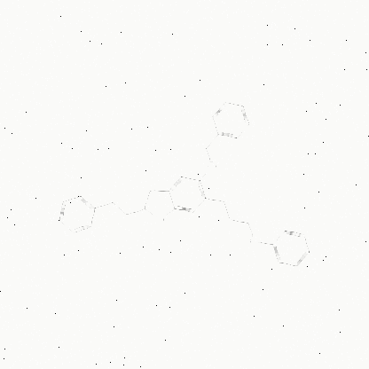 c1ccc(CCC2Cc3cc(OCc4ccccc4)c(CCCOc4ccccc4)cc3O2)cc1